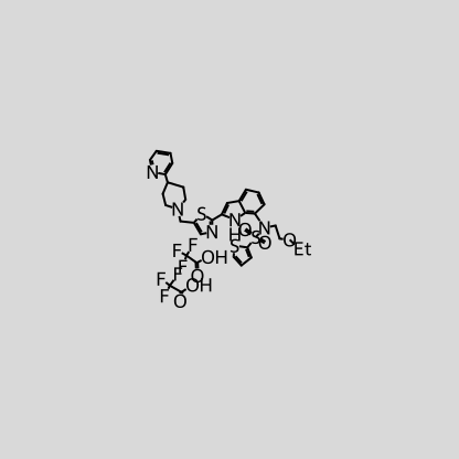 CCOCCN(c1cccc2cc(-c3ncc(CN4CCC(c5ccccn5)CC4)s3)[nH]c12)S(=O)(=O)c1cccs1.O=C(O)C(F)(F)F.O=C(O)C(F)(F)F